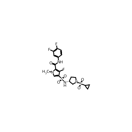 Cn1cc(S(=O)(=O)N[C@@H]2CCN(S(=O)(=O)C3CC3)C2)c(F)c1C(=O)Nc1ccc(F)c(F)c1